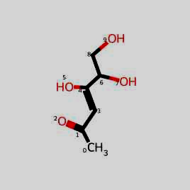 CC(=O)C=C(O)C(O)CO